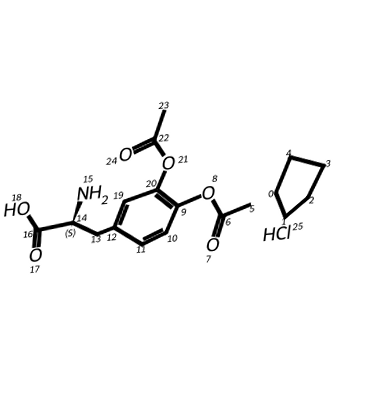 C1CCCC1.CC(=O)Oc1ccc(C[C@H](N)C(=O)O)cc1OC(C)=O.Cl